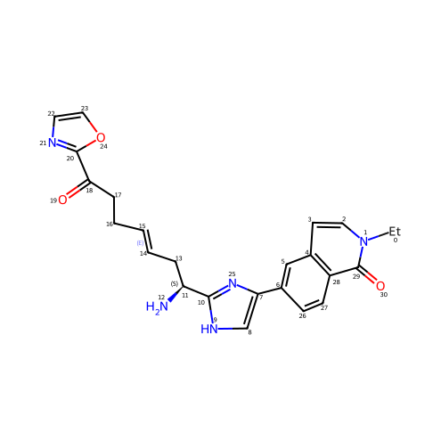 CCn1ccc2cc(-c3c[nH]c([C@@H](N)C/C=C/CCC(=O)c4ncco4)n3)ccc2c1=O